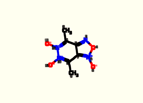 Cc1c2no[n+]([O-])c2c(C)[n+]([O-])[n+]1[O-]